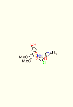 COc1cc(-c2cccc(CO)c2)c(S(=O)(=O)Nc2ccc(Cl)c(O[C@@H]3CCN(C)C3)c2)cc1OC